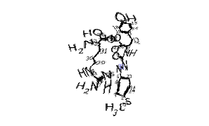 CSc1ccc(/N=N/C(=O)NC(Cc2ccc(O)cc2)C(=O)O)cc1.N=C(N)NCCCC(N)C(=O)O